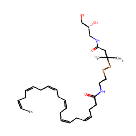 CC/C=C\C/C=C\C/C=C\C/C=C\C/C=C\C/C=C\CCC(=O)NCCSSC(C)(C)CC(=O)NC[C@@H](O)CO